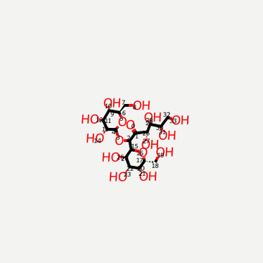 O=C(C(OC1O[C@H](CO)[C@@H](O)[C@H](O)[C@H]1O)C1O[C@H](CO)[C@H](O)[C@H](O)[C@H]1O)[C@@H](O)[C@H](O)[C@H](O)CO